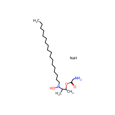 CCCCCCCCCCCCCCCCCCN(O)C(C)C(C)OC(=O)CN.[NaH]